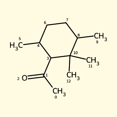 CC(=O)C1C(C)CCC(C)C1(C)C